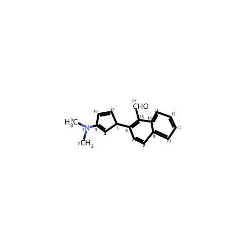 CN(C)C1=CC(c2ccc3ccccc3c2C=O)C=C1